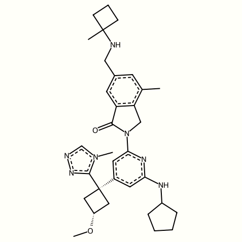 CO[C@H]1C[C@](c2cc(NC3CCCC3)nc(N3Cc4c(C)cc(CNC5(C)CCC5)cc4C3=O)c2)(c2nncn2C)C1